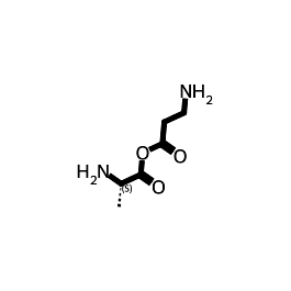 C[C@H](N)C(=O)OC(=O)CCN